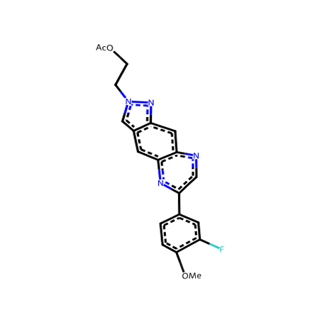 COc1ccc(-c2cnc3cc4nn(CCOC(C)=O)cc4cc3n2)cc1F